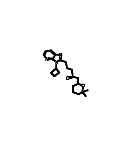 CC1(C)CCCC(CC(=O)CCCc2nc3cccnc3n2C2CCC2)O1